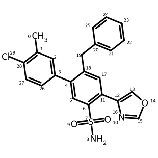 Cc1cc(-c2cc(S(N)(=O)=O)c(-c3cocn3)cc2Cc2ccccc2)ccc1Cl